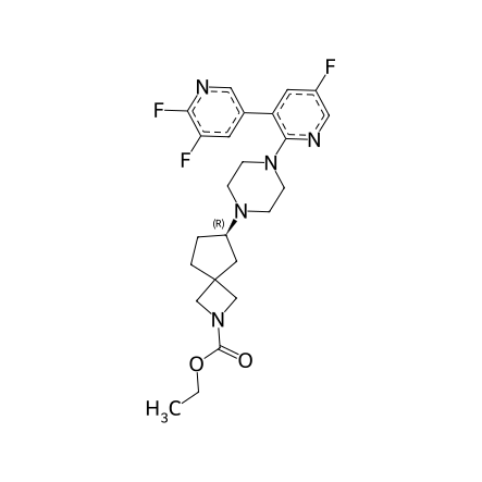 CCOC(=O)N1CC2(CC[C@@H](N3CCN(c4ncc(F)cc4-c4cnc(F)c(F)c4)CC3)C2)C1